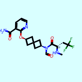 CN[C@@H](CC(F)(F)F)C(=O)N(C=O)[C@H]1CC2(C[C@H](Oc3ncccc3C(N)=O)C2)C1